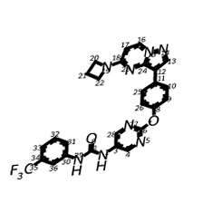 O=C(Nc1cnc(Oc2ccc(-c3cnn4ccc(N5CCC5)nc34)cc2)nc1)Nc1cccc(C(F)(F)F)c1